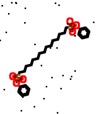 O=S(=O)(CCCCCCCCCCCCCCCS(=O)(=O)Oc1ccccc1)Oc1ccccc1